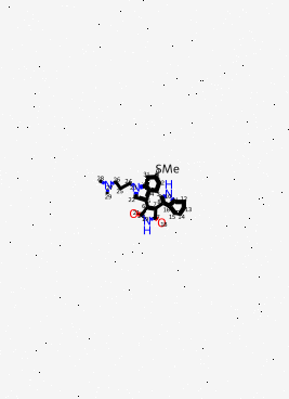 CSc1ccc2c(C3=C(c4c[nH]c5ccccc45)C(=O)NC3=O)cn(CCCN(C)C)c2c1